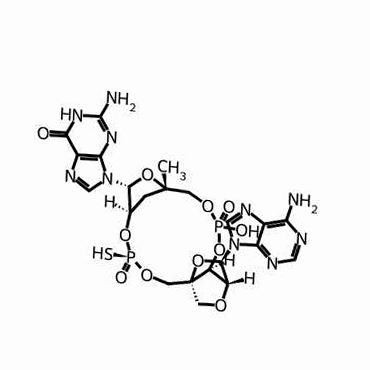 C[C@@]12COP(=O)(O)O[C@H]3[C@H]4OC[C@]3(CO[P@@](=O)(S)O[C@H](C1)[C@H](n1cnc3c(=O)[nH]c(N)nc31)O2)O[C@H]4n1cnc2c(N)ncnc21